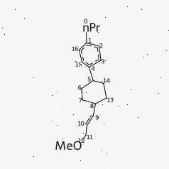 CCCc1ccc(C2CCC(C=CCOC)CC2)cc1